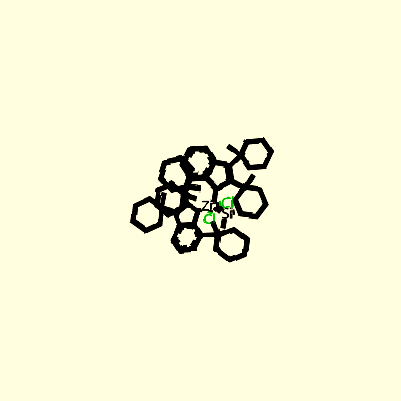 C[Si](C)=[Zr]([Cl])([Cl])([CH]1C(C2(C)CCCCC2)=C(C2(C)CCCCC2)c2cccc(C3(C)CCCCC3)c21)[CH]1C(C2(C)CCCCC2)=C(C2(C)CCCCC2)c2cccc(C3(C)CCCCC3)c21